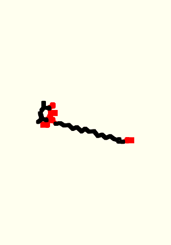 C=C(C)C(=O)O.C=C(C)C(=O)O.OCCCCCCCCCCCCCCCCCO